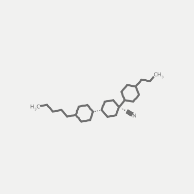 CCCCCC1CCC([C@H]2CC[C@](C#N)(C3CCC(CCC)CC3)CC2)CC1